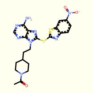 CC(=O)N1CCC(CCn2c(Sc3nc4ccc([N+](=O)[O-])cc4s3)nc3c(N)ncnc32)CC1